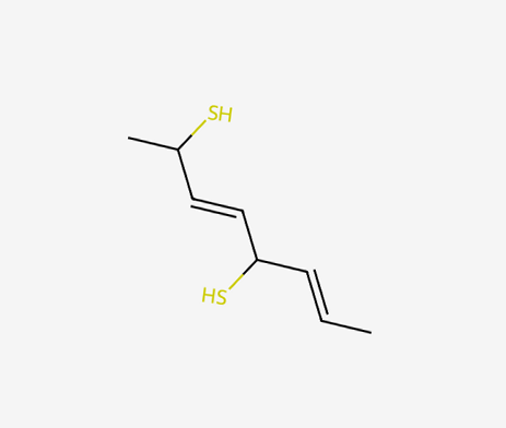 CC=CC(S)C=CC(C)S